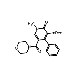 CCCCCCCCCCc1c(-c2ccccc2)c(C(=O)N2CCOCC2)cn(C)c1=O